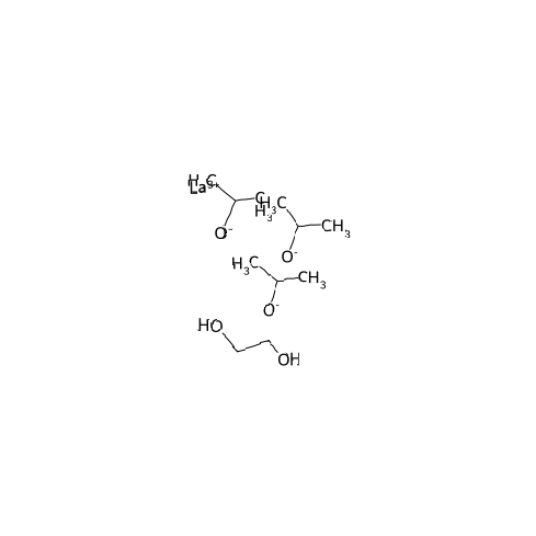 CC(C)[O-].CC(C)[O-].CC(C)[O-].OCCO.[La+3]